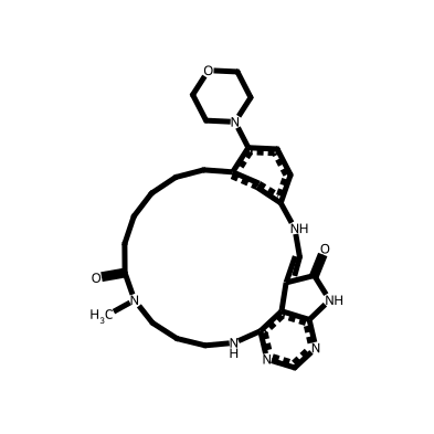 CN1CCCNc2ncnc3c2/C(=C/Nc2ccc(N4CCOCC4)c(c2)CCCCCC1=O)C(=O)N3